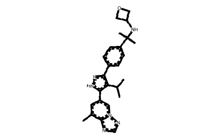 Cc1cc(-c2[nH]nc(-c3ccc(C(C)(C)NC4COC4)cc3)c2C(C)C)cn2ncnc12